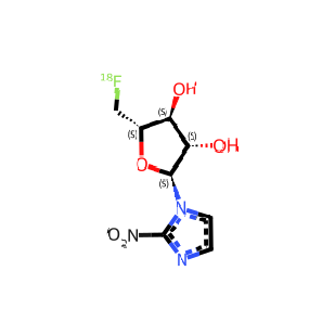 O=[N+]([O-])c1nccn1[C@H]1O[C@H](C[18F])[C@@H](O)[C@@H]1O